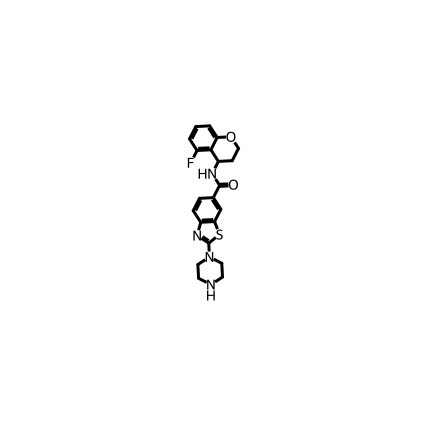 O=C(NC1CCOc2cccc(F)c21)c1ccc2nc(N3CCNCC3)sc2c1